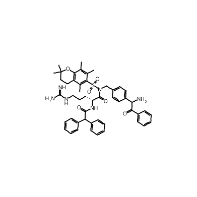 Cc1c(C)c(S(=O)(=O)N(Cc2ccc(C(N)C(=O)c3ccccc3)cc2)C(=O)[C@@H](CCCNC(=N)N)NC(=O)C(c2ccccc2)c2ccccc2)c(C)c2c1OC(C)(C)CC2